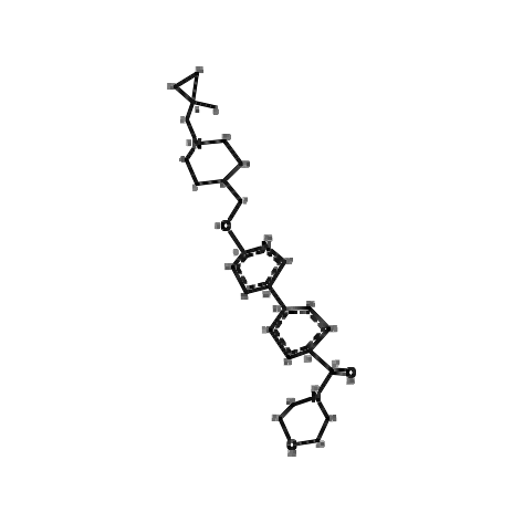 CC1(CN2CCC(COc3ccc(-c4ccc(C(=O)N5CCOCC5)cc4)cn3)CC2)CC1